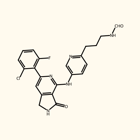 O=CNCCCc1ccc(Nc2nc(-c3c(F)cccc3Cl)cc3c2C(=O)NC3)cn1